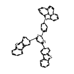 c1ccc2c(c1)sc1ccc(-c3cc(-c4ccc5sc6ccccc6c5c4)nc(-c4ccc(-n5c6cccc7ccc8cccc5c8c76)cc4)n3)cc12